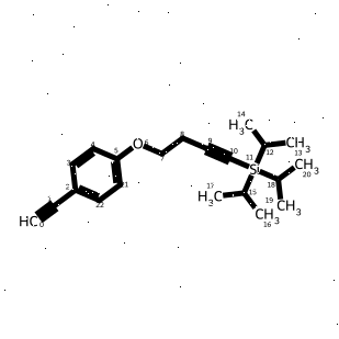 C#Cc1ccc(OCCC#C[Si](C(C)C)(C(C)C)C(C)C)cc1